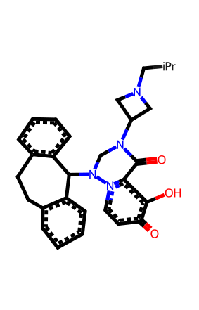 CC(C)CN1CC(N2CN(C3c4ccccc4CCc4ccccc43)n3ccc(=O)c(O)c3C2=O)C1